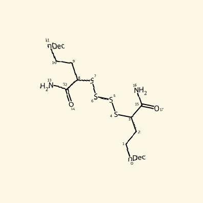 CCCCCCCCCCCCC(SSSSC(CCCCCCCCCCCC)C(N)=O)C(N)=O